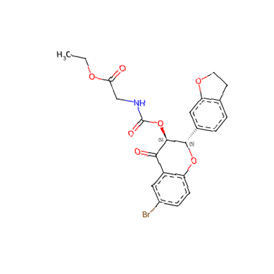 CCOC(=O)CNC(=O)O[C@@H]1C(=O)c2cc(Br)ccc2O[C@H]1c1ccc2c(c1)OCC2